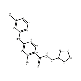 CC(C)c1cc(Nc2cccc(Cl)c2)ncc1C(=O)NCC1CCCC1